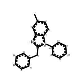 Cc1ccc2c(c1)nc(Cc1ccccc1)n2-c1ccccc1